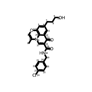 CC1=COc2cc(CCCO)cc3c(=O)c(C(=O)NCc4ccc(Cl)cc4)cn1c23